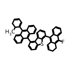 CC1CC=CC=C1c1c2ccccc2c(-c2cccc3sc4c(-c5c6c(c(F)c7ccccc57)CCC=C6)cccc4c23)c2ccccc12